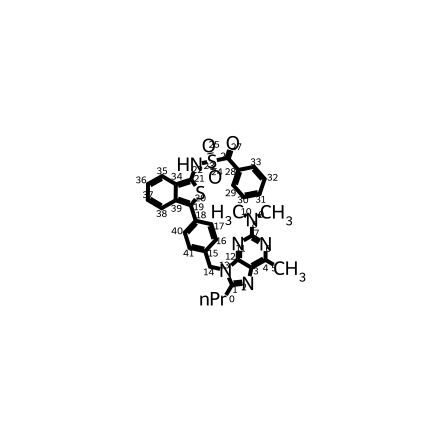 CCCc1nc2c(C)nc(N(C)C)nc2n1Cc1ccc(-c2sc(NS(=O)(=O)C(=O)c3ccccc3)c3ccccc23)cc1